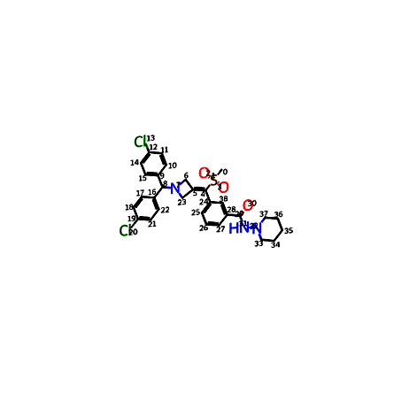 CS(=O)(=O)C(=C1CN(C(c2ccc(Cl)cc2)c2ccc(Cl)cc2)C1)c1cccc(C(=O)NN2CCCCC2)c1